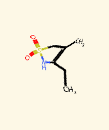 CCC1=C(C)CS(=O)(=O)N1